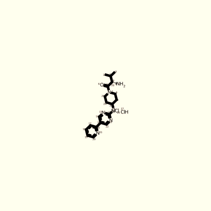 CC(C)[C@H](N)C(=O)N1CCC(Oc2ncc(-c3ccccn3)cn2)CC1.Cl.Cl